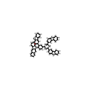 c1ccc2cc3c(cc2c1)c1ccccc1n3-c1ccc(-c2nc(-c3ccc4sc5ccccc5c4c3)nc(-c3ccc4sc5ccccc5c4c3)n2)cc1-c1ccc2oc3ccccc3c2c1